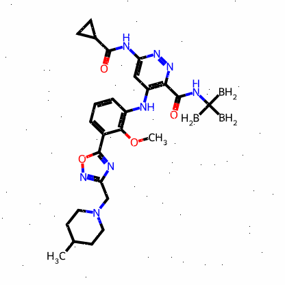 BC(B)(B)NC(=O)c1nnc(NC(=O)C2CC2)cc1Nc1cccc(-c2nc(CN3CCC(C)CC3)no2)c1OC